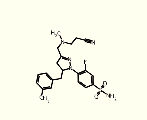 Cc1cccc(CC2CC(CN(C)CCC#N)=NN2c2ccc(S(N)(=O)=O)cc2F)c1